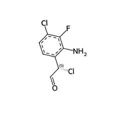 Nc1c([C@H](Cl)C=O)ccc(Cl)c1F